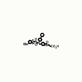 CC(C)(C)c1ccc2sc(NC(=O)N(Cc3ccc(C(=O)NCCC(=O)O)cc3)c3ccc(C4=CCCCC4)cc3)nc2c1